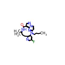 CCCCN1c2ccn3ncc(c3n2)C(=O)NC(C)(C)CCc2ncc(F)cc21